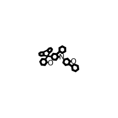 c1ccc2c(c1)Oc1cc3c(cc1C21c2ccccc2-c2ccccc21)c1ccccc1n3-c1ccc2c(c1)oc1ccccc12